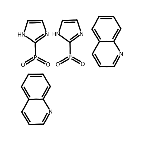 O=P(=O)c1ncc[nH]1.O=P(=O)c1ncc[nH]1.c1ccc2ncccc2c1.c1ccc2ncccc2c1